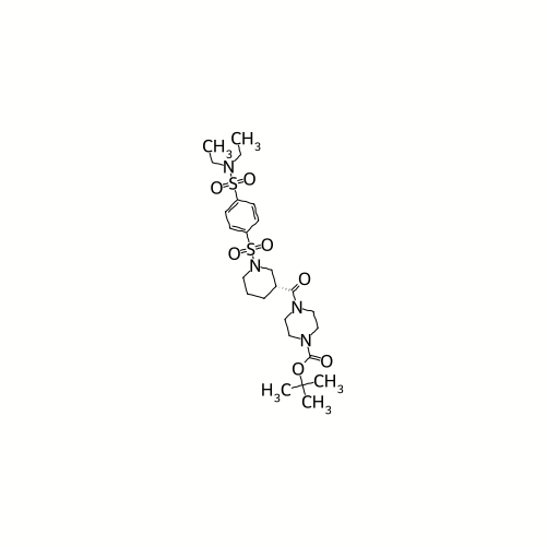 CCN(CC)S(=O)(=O)c1ccc(S(=O)(=O)N2CCC[C@@H](C(=O)N3CCN(C(=O)OC(C)(C)C)CC3)C2)cc1